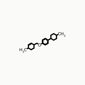 CC1C=CC(COc2ccc(C3CCC(C)CC3)cc2)CC1